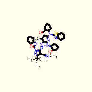 COc1ccccc1Nc1nc(N(c2nc3ccccc3s2)c2ccccc2C=O)cc(C)c1/N=N/c1c(C#N)c(C(C)(C)C)nn1-c1nc2ccccc2o1